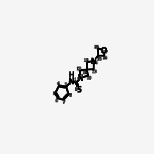 S=C(Nc1ccccc1)N1CC2(C1)CN(C1COC1)C2